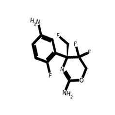 NC1=N[C@](CF)(c2cc(N)ccc2F)C(F)(F)CO1